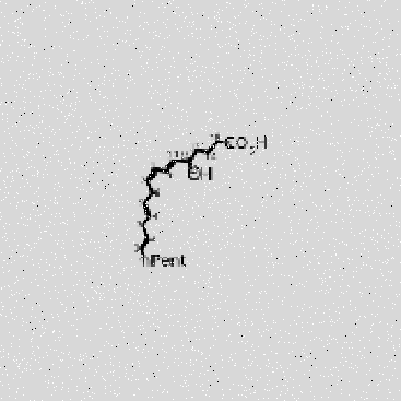 CCCCCC=CCC=CC/C=C\C=C\C(O)CCCC(=O)O